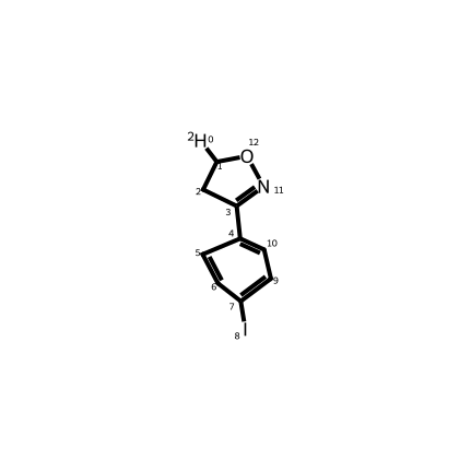 [2H]C1CC(c2ccc(I)cc2)=NO1